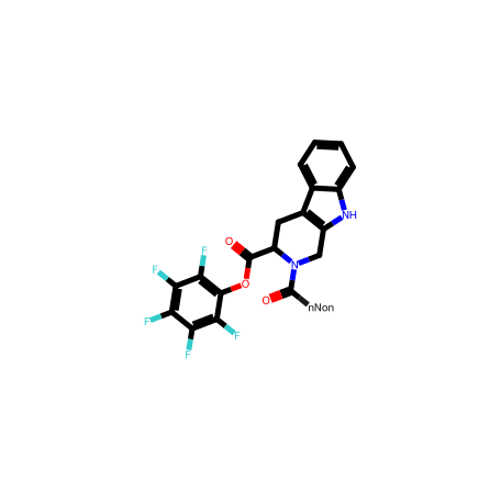 CCCCCCCCCC(=O)N1Cc2[nH]c3ccccc3c2CC1C(=O)Oc1c(F)c(F)c(F)c(F)c1F